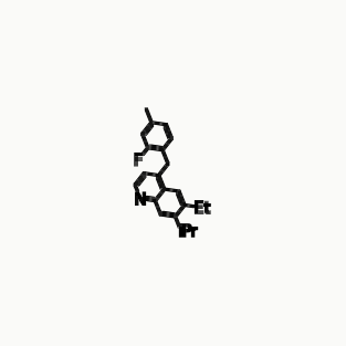 CCc1cc2c(Cc3ccc(C)cc3F)ccnc2cc1C(C)C